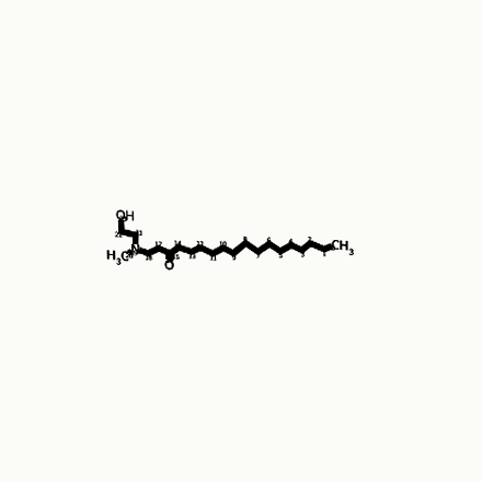 CCCCCCCCCCCCCCCC(=O)CCN(C)CCO